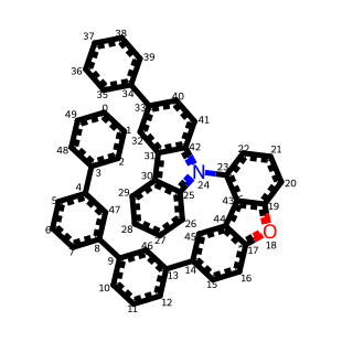 c1ccc(-c2cccc(-c3cccc(-c4ccc5oc6cccc(-n7c8ccccc8c8cc(-c9ccccc9)ccc87)c6c5c4)c3)c2)cc1